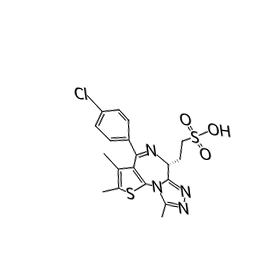 Cc1sc2c(c1C)C(c1ccc(Cl)cc1)=N[C@H](CCS(=O)(=O)O)c1nnc(C)n1-2